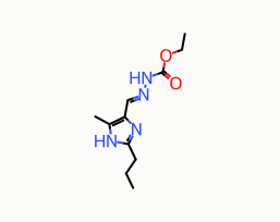 CCCc1nc(C=NNC(=O)OCC)c(C)[nH]1